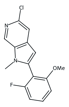 COc1cccc(F)c1-c1cc2cc(Cl)ncc2n1C